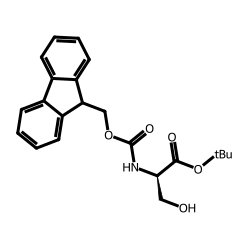 CC(C)(C)OC(=O)[C@@H](CO)NC(=O)OCC1c2ccccc2-c2ccccc21